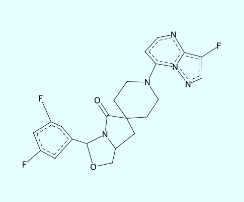 O=C1N2C(COC2c2cc(F)cc(F)c2)CC12CCN(c1ccnc3c(F)cnn13)CC2